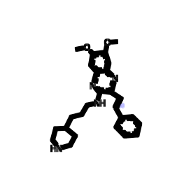 COc1cc2nc(/C=C/c3ccccc3)c(NCCCC3CCNCC3)nc2cc1OC